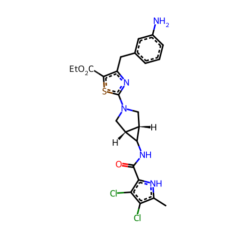 CCOC(=O)c1sc(N2C[C@@H]3C(NC(=O)c4[nH]c(C)c(Cl)c4Cl)[C@@H]3C2)nc1Cc1cccc(N)c1